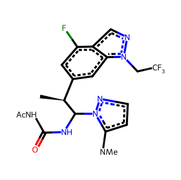 CNc1ccnn1C(NC(=O)NC(C)=O)[C@@H](C)c1cc(F)c2cnn(CC(F)(F)F)c2c1